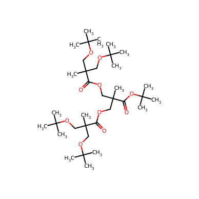 CC(C)(C)OCC(C)(COC(C)(C)C)C(=O)OCC(C)(COC(=O)C(C)(COC(C)(C)C)COC(C)(C)C)C(=O)OC(C)(C)C